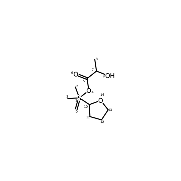 C=S(C)(C)(OC(=O)C(C)O)C1CCCO1